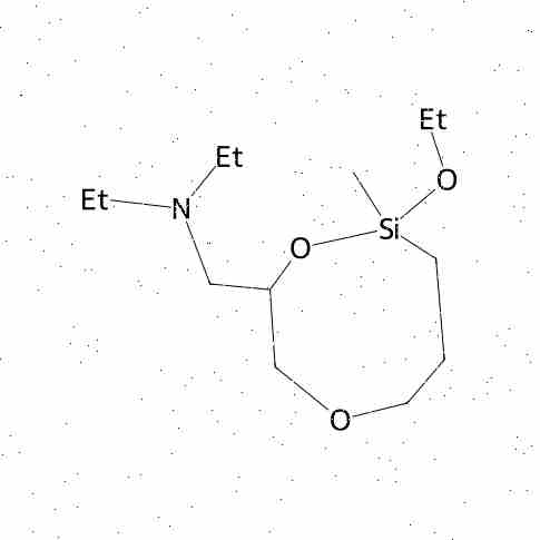 CCO[Si]1(C)CCCOCC(CN(CC)CC)O1